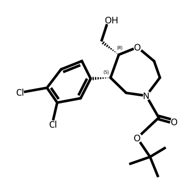 CC(C)(C)OC(=O)N1CCO[C@@H](CO)[C@@H](c2ccc(Cl)c(Cl)c2)C1